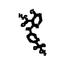 CC(=O)c1c(Cl)ncnc1Nc1ccc(S(C)(=O)=O)nc1